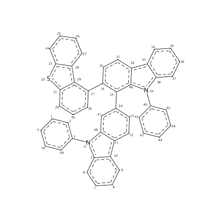 c1ccc(-n2c3ccccc3c3ccc(-c4c(-c5cccc6sc7ccccc7c56)ccc5c6ccccc6n(-c6ccccc6)c45)cc32)cc1